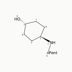 CCCCCN[C@H]1CC[C@H](O)CC1